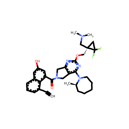 C#Cc1cccc2cc(O)cc(C(=O)N3Cc4nc(OC[C@]5(CN(C)C)CC5(F)F)nc(N5CCCCC[C@H]5C)c4C3)c12